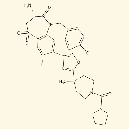 CC1(c2nc(-c3cc4c(cc3F)S(=O)(=O)C[C@H](N)C(=O)N4Cc3ccc(Cl)cc3)no2)CCN(C(=O)N2CCCC2)CC1